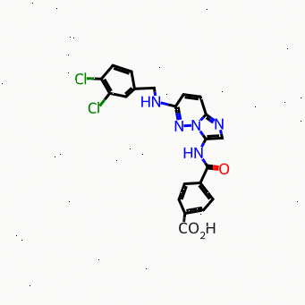 O=C(O)c1ccc(C(=O)Nc2cnc3ccc(NCc4ccc(Cl)c(Cl)c4)nn23)cc1